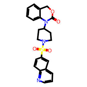 O=C1OCc2ccccc2N1C1CCN(S(=O)(=O)c2ccc3ncccc3c2)CC1